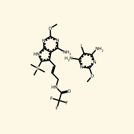 COc1nc(N)c(I)c(N)n1.COc1nc(N)c2c(C=CCNC(=O)C(F)(F)F)c([Si](C)(C)C)[nH]c2n1